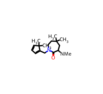 CNC1CC(C)(C)CCN(CC2=CC=CC2(C)C)C1=O